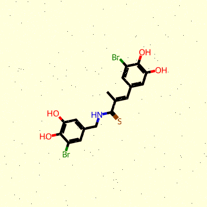 C/C(=C\c1cc(O)c(O)c(Br)c1)C(=S)NCc1cc(O)c(O)c(Br)c1